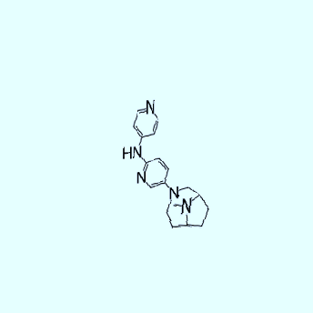 CN1C2CCC1CN(c1ccc(Nc3ccncc3)nc1)CC2